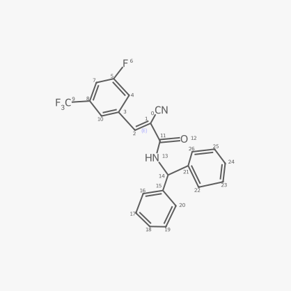 N#C/C(=C\c1cc(F)cc(C(F)(F)F)c1)C(=O)NC(c1ccccc1)c1ccccc1